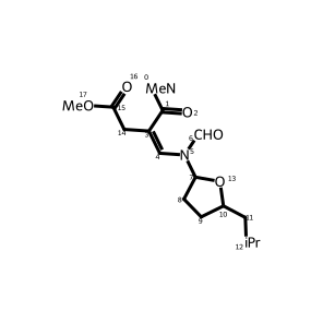 CNC(=O)/C(=C\N(C=O)C1CCC(CC(C)C)O1)CC(=O)OC